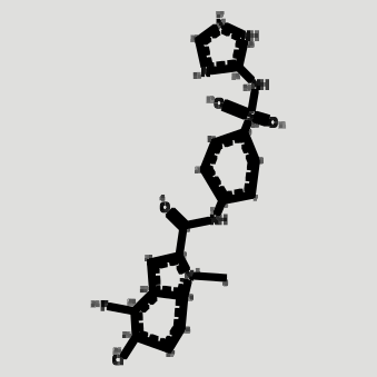 Cn1c(C(=O)Nc2ccc(S(=O)(=O)Nc3ncn[nH]3)cc2)cc2c(F)c(Cl)ccc21